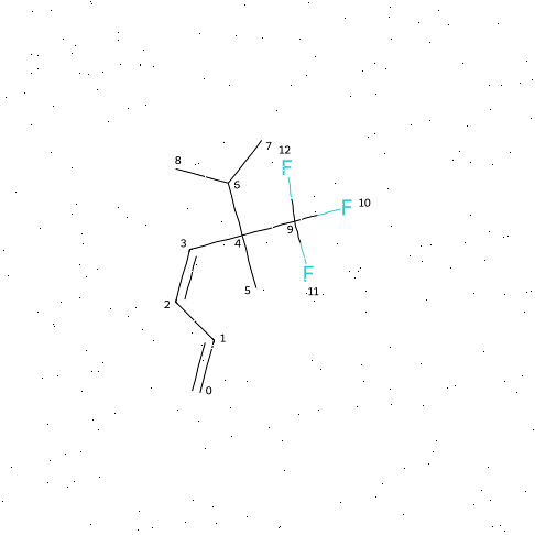 C=C/C=C\C(C)(C(C)C)C(F)(F)F